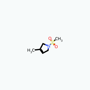 CC1=CCN(S(C)(=O)=O)C1